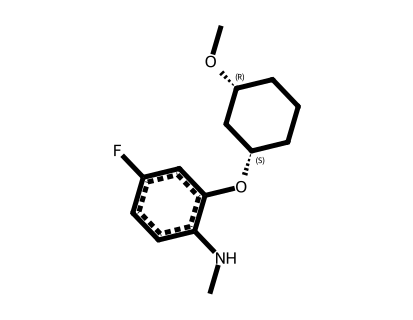 CNc1ccc(F)cc1O[C@H]1CCC[C@@H](OC)C1